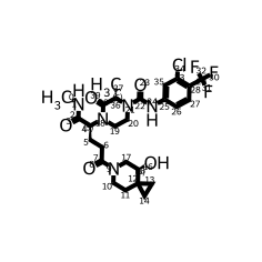 CNC(=O)[C@H](CCC(=O)N1CCC2(CC2)[C@H](O)C1)N1CCN(C(=O)Nc2ccc(C(F)(F)F)c(Cl)c2)[C@@H](C)C1=O